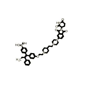 CC/C(=C(/c1ccc(OCCN2CCC(CCN3CCN(c4ccc5c(c4)C(=O)N(C4CCC(=O)NC4=O)C5=O)CC3)CC2)cc1)c1ccc(B(O)O)cc1)c1ccccc1